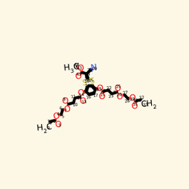 C=CC(=O)OCCOC(=O)CCC(=O)Oc1ccc(OC(=O)CCC(=O)OCCOC(=O)C=C)c2c1SC(=C(C#N)C(=O)OC)S2